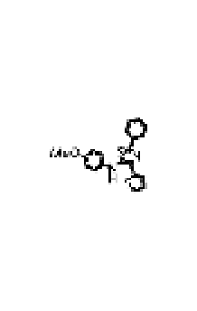 COc1ccc(Nc2sc(-c3ccccc3)nc2-c2cccs2)cc1